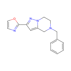 c1ccc(CN2CCn3nc(-c4ncco4)cc3C2)cc1